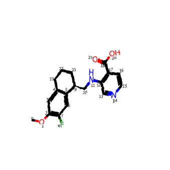 COc1cc2c(cc1F)[C@H](CNc1cnccc1C(=O)O)CCC2